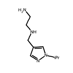 CC(C)n1cc(CNCCN)cn1